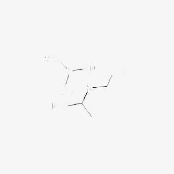 CC(NCC(=O)O)C(=O)O.COB(O)O